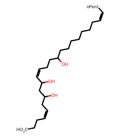 CCCCC/C=C\CCCCCCCC(O)CC/C=C\C(O)CC(O)C/C=C\CCC(=O)O